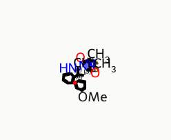 COc1ccc([C@@]23C[C@]45CSC[C@@](C)(C(=O)N4[C@]2(C)Nc2ccccc23)N(C)C5=O)cc1